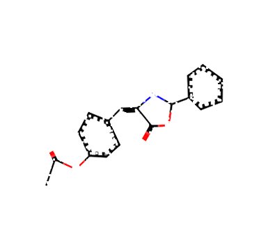 CC(=O)Oc1ccc(/C=C2/NC(c3ccccc3)OC2=O)cc1